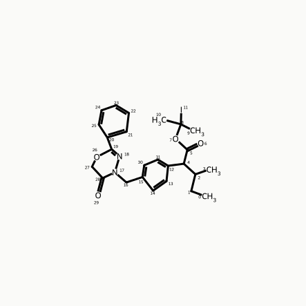 CCC(C)C(C(=O)OC(C)(C)I)c1ccc(CN2N=C(c3ccccc3)OCC2=O)cc1